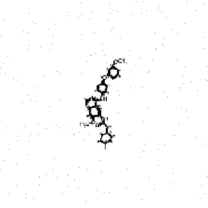 COc1cccc(Oc2ccc(Nc3ncnc4cc(OC)c(NC(=O)C=C5CCNCC5)cc34)cc2)c1